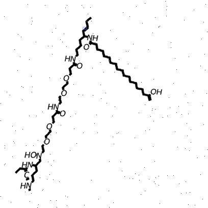 C=C=C(CC)NC(CCCNC)CN(O)CCOCCOCCC(=O)NCCOCCOCCC(=O)NCCCCC(/C=C/CC)NC(=O)CCCCCCCCCCCCCCCCC(=C)O